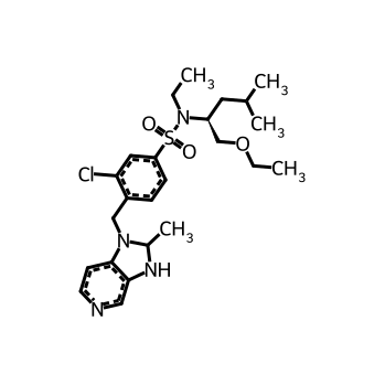 CCOC[C@H](CC(C)C)N(CC)S(=O)(=O)c1ccc(CN2c3ccncc3NC2C)c(Cl)c1